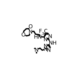 CN(C)CCn1ncc(Nc2ncc(C(F)(F)F)c(NCCCN3CCOCCC3=O)n2)n1